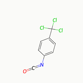 O=C=Nc1ccc(C(Cl)(Cl)Cl)cc1